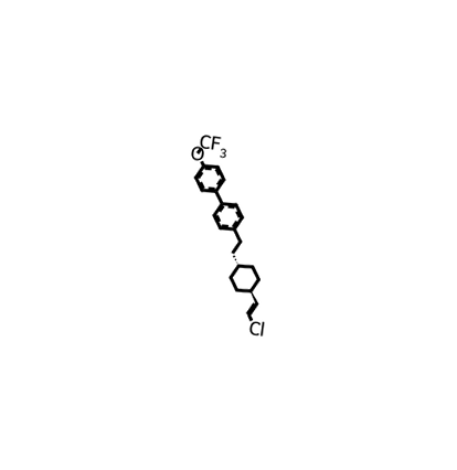 FC(F)(F)Oc1ccc(-c2ccc(CC[C@H]3CC[C@H](/C=C/Cl)CC3)cc2)cc1